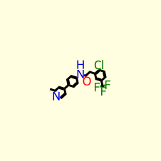 Cc1cc(-c2ccc(NC(=O)Cc3cc(C(F)(F)F)ccc3Cl)cc2)ccn1